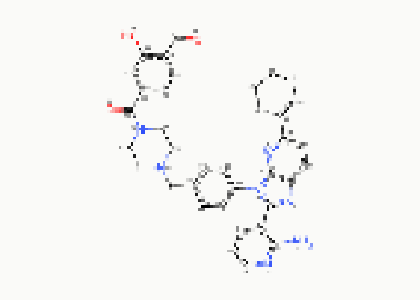 Nc1ncccc1-c1nc2ccc(C3=CCCCC3)nc2n1-c1ccc(CN2CCN(C(=O)c3ccc(C=O)c(O)c3)CC2)cc1